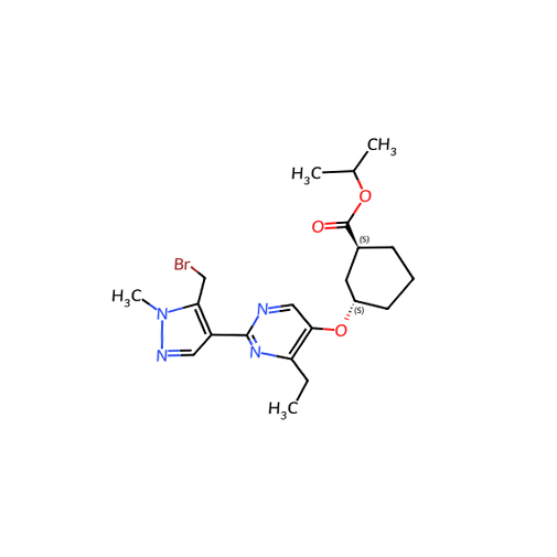 CCc1nc(-c2cnn(C)c2CBr)ncc1O[C@H]1CCC[C@H](C(=O)OC(C)C)C1